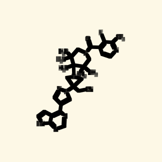 BC1(B)CN(C(=O)c2ccnc(C(F)(F)F)c2F)CC(B)(B)C1(B)N1CC(CC#N)(n2cc(-c3ncnc4[nH]ccc34)cn2)C1